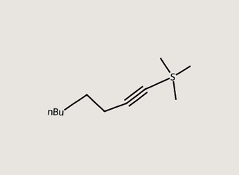 CCCCCCC#CS(C)(C)C